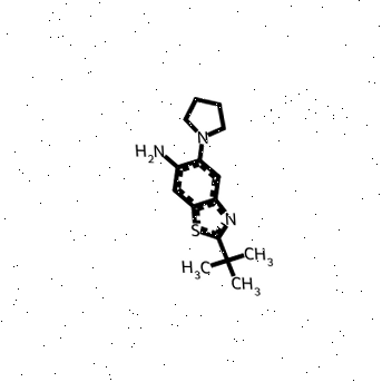 CC(C)(C)c1nc2cc(N3CCCC3)c(N)cc2s1